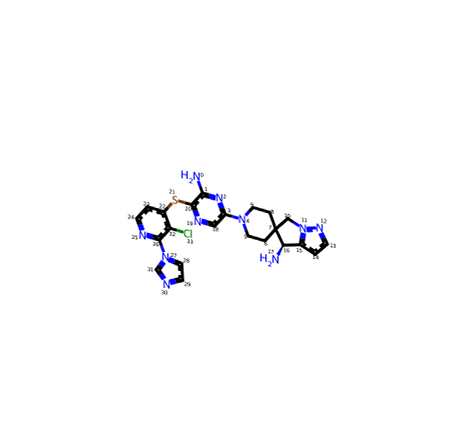 Nc1nc(N2CCC3(CC2)Cn2nccc2[C@H]3N)cnc1Sc1ccnc(-n2ccnc2)c1Cl